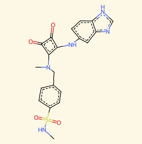 CNS(=O)(=O)c1ccc(CN(C)c2c(Nc3ccc4[nH]cnc4c3)c(=O)c2=O)cc1